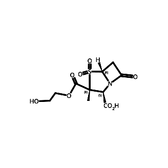 C[C@]1(C(=O)OCCO)[C@H](C(=O)O)N2C(=O)C[C@H]2S1(=O)=O